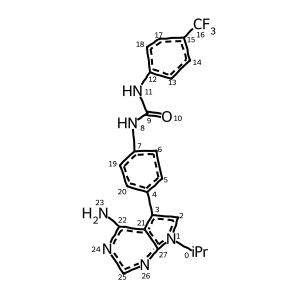 CC(C)n1cc(-c2ccc(NC(=O)Nc3ccc(C(F)(F)F)cc3)cc2)c2c(N)ncnc21